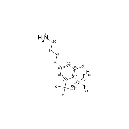 CC(C)(C)c1cc(CCCCN)cc(CF)c1C(F)(F)F